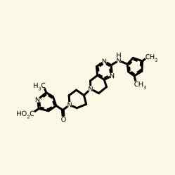 Cc1cc(C)cc(Nc2ncc3c(n2)CCN(C2CCN(C(=O)c4cc(C)nc(C(=O)O)c4)CC2)C3)c1